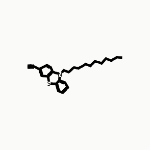 C#Cc1ccc2c(c1)Sc1ccccc1N2CCCCCCCCCCCC